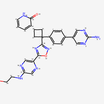 Nc1ncc(-c2ccc(C3(c4noc(-c5cnc(NCCO)cn5)n4)CCC3)cc2)cn1.O=c1cccc[nH]1